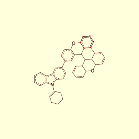 C1=CCCC(C2=CC=CC3OC4C=CC=CC4C(C4c5ccccc5Oc5ccc(-c6ccc7c(c6)c6ccccc6n7C6=CCCCC6)cc54)C23)=C1